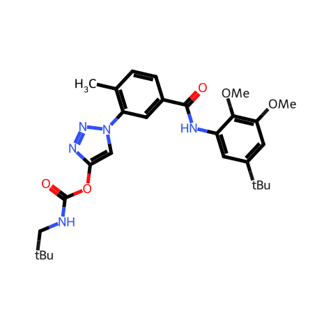 COc1cc(C(C)(C)C)cc(NC(=O)c2ccc(C)c(-n3cc(OC(=O)NCC(C)(C)C)nn3)c2)c1OC